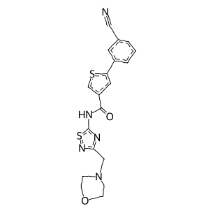 N#Cc1cccc(-c2cc(C(=O)Nc3nc(CN4CCOCC4)ns3)cs2)c1